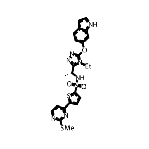 CCn1c(Oc2ccc3cc[nH]c3c2)nnc1[C@@H](C)NS(=O)(=O)c1ccc(-c2ccnc(SC)n2)s1